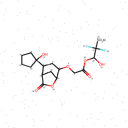 O=C(COC1CC(C2(O)CCCC2)C2CC1OC2=O)OC(O)C(F)(F)S(=O)(=O)O